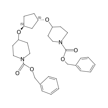 O=C(OCc1ccccc1)N1CCC(O[C@H]2CC[C@H](OC3CCN(C(=O)OCc4ccccc4)CC3)C2)CC1